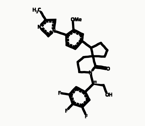 COc1cc(C2CCCC23CCCN([C@@H](CO)c2cc(F)c(F)c(F)c2)C3=O)ccc1-n1cnc(C)c1